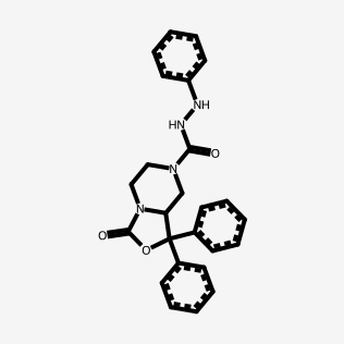 O=C(NNc1ccccc1)N1CCN2C(=O)OC(c3ccccc3)(c3ccccc3)C2C1